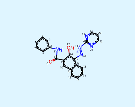 O=C(Nc1ccccc1)c1cc2ccccc2c(/N=N/c2ncccn2)c1O